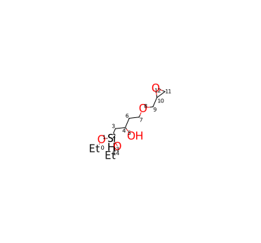 CCO[SiH](CC(O)CCOCC1CO1)OCC